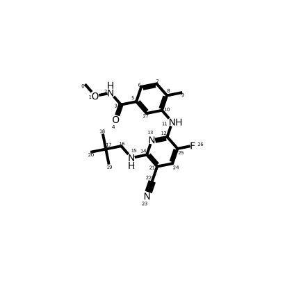 CONC(=O)c1ccc(C)c(Nc2nc(NCC(C)(C)C)c(C#N)cc2F)c1